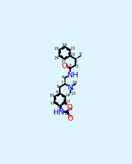 C[C@@H](CC(=O)NC[C@H](Cc1ccc2[nH]c(=O)oc2c1)N(C)C)c1ccccc1